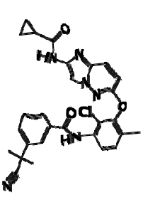 Cc1ccc(NC(=O)c2cccc(C(C)(C)C#N)c2)c(Cl)c1Oc1ccc2nc(NC(=O)C3CC3)cn2n1